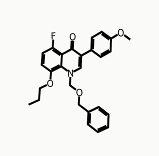 CCCOc1ccc(F)c2c(=O)c(-c3ccc(OC)cc3)cn(COCc3ccccc3)c12